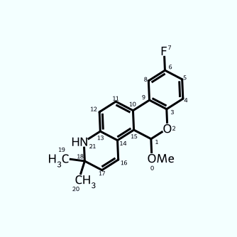 COC1Oc2ccc(F)cc2-c2ccc3c(c21)C=CC(C)(C)N3